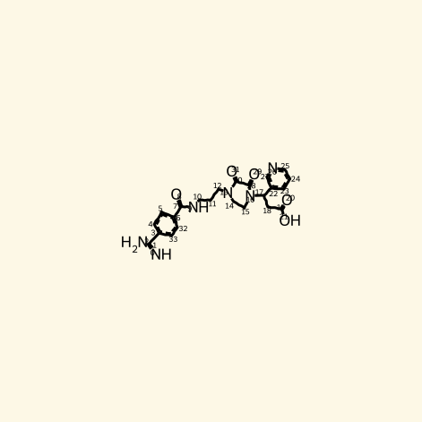 N=C(N)c1ccc(C(=O)NCCCN2CCN(C(CC(=O)O)c3cccnc3)C(=O)C2=O)cc1